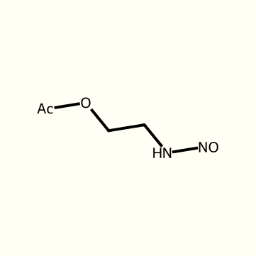 CC(=O)OCCNN=O